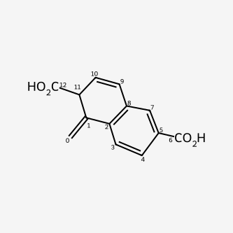 C=C1c2ccc(C(=O)O)cc2C=CC1C(=O)O